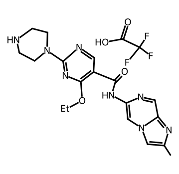 CCOc1nc(N2CCNCC2)ncc1C(=O)Nc1cn2cc(C)nc2cn1.O=C(O)C(F)(F)F